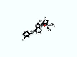 CN(C=O)[C@@]12CN[C@H]([C@H](n3cnc4c(NCc5cccc(I)c5)ncnc43)O1)[C@H]2O